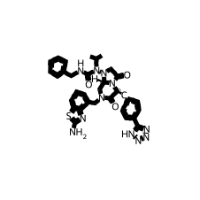 CC(C)N(C(=O)NCc1ccccc1)N1CC(=O)N2[C@@H](Cc3ccc(-c4nnn[nH]4)cc3)C(=O)N(Cc3cccc4sc(N)nc34)C[C@@H]21